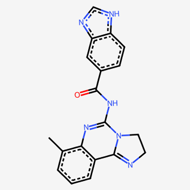 Cc1cccc2c1N=C(NC(=O)c1ccc3[nH]cnc3c1)N1CCN=C21